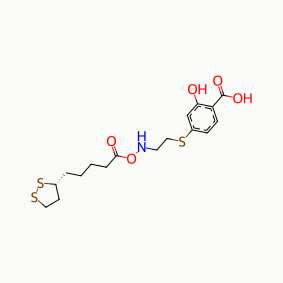 O=C(CCCC[C@@H]1CCSS1)ONCCSc1ccc(C(=O)O)c(O)c1